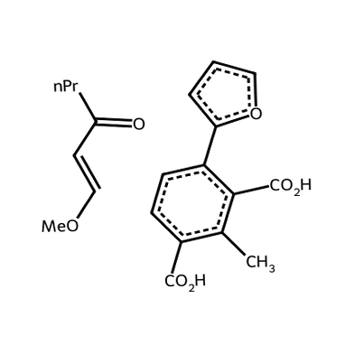 CCCC(=O)C=COC.Cc1c(C(=O)O)ccc(-c2ccco2)c1C(=O)O